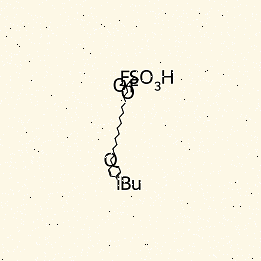 CCC(C)c1ccc(OCCCCCCCCCCCCOC(=O)C(F)(F)S(=O)(=O)O)cc1